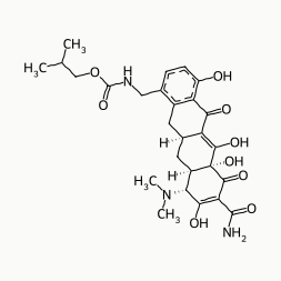 CC(C)COC(=O)NCc1ccc(O)c2c1C[C@@H]1C[C@@H]3[C@@H](N(C)C)C(O)=C(C(N)=O)C(=O)[C@]3(O)C(O)=C1C2=O